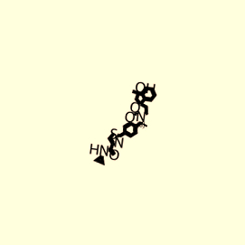 C[C@@H](c1ccc(-c2nc(C(=O)NC3CC3)cs2)cc1)N1CCC(CC(C)(C)O)(c2ccccc2)OC1=O